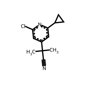 CC(C)(C#N)c1cc(Cl)nc(C2CC2)c1